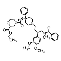 CCOC(=O)C1CN(C(=O)NC2(c3ccccc3)CCN(CCC(CN(C)C(=O)c3ccccc3)c3ccc(OC)c(OC)c3)CC2)CCO1